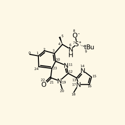 Cc1cc([C@@H](C)N[S@+]([O-])C(C)(C)C)c2nc(-c3nccn3C)n(C)c(=O)c2c1